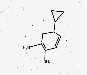 NC1=C(N)CN(C2CC2)C=C1